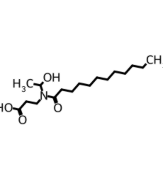 CCCCCCCCCCCC(=O)N(CCC(=O)O)C(C)O